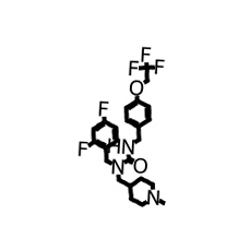 CN1CCC(CN(Cc2ccc(F)cc2F)C(=O)NCc2ccc(OCC(F)(F)F)cc2)CC1